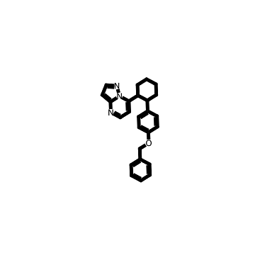 c1ccc(COc2ccc(C3CCCCC3c3ccnc4ccnn34)cc2)cc1